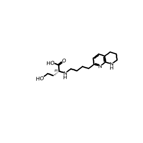 O=C(O)[C@@H](CCO)NCCCCc1ccc2c(n1)NCCC2